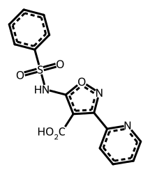 O=C(O)c1c(-c2ccccn2)noc1NS(=O)(=O)c1ccccc1